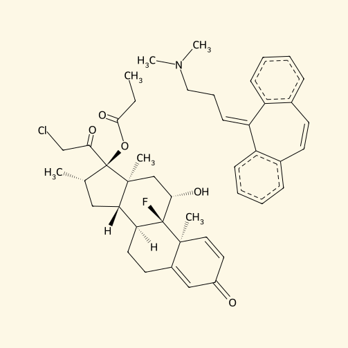 CCC(=O)O[C@]1(C(=O)CCl)[C@@H](C)C[C@H]2[C@@H]3CCC4=CC(=O)C=C[C@]4(C)[C@@]3(F)[C@@H](O)C[C@@]21C.CN(C)CCC=C1c2ccccc2C=Cc2ccccc21